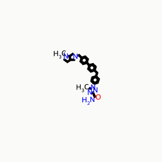 Cc1nc(C(N)=O)nn1-c1ccc(Cc2ccc(-c3ccc(CN4CC5CCN(C)C5C4)cc3)cc2)cc1